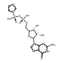 Nc1nc2c(ncn2C2OC(COP(=O)(O)OP(=O)(O)n3ccnc3)[C@H](O)[C@@H]2O)c(=O)[nH]1